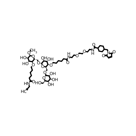 C#CCNC(=O)CCCCCO[C@H]1[C@H](O)[C@@H](O)[C@@H](OC)O[C@@H]1CO[C@H]1O[C@H](COC2O[C@H](CO)[C@@H](O)[C@H](O)[C@H]2O)[C@@H](OCCCCCC(=O)NCCOCCOCCNC(=O)C2CCC(CN3C(=O)C=CC3=O)CC2)[C@H](O)[C@H]1O